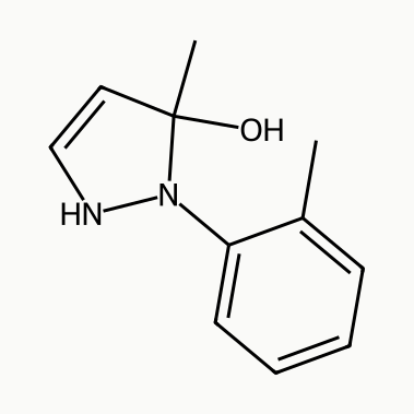 Cc1ccccc1N1NC=CC1(C)O